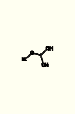 CCOI(O)O